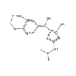 CC(C)Nc1nc(N)c(C(O)c2ccc3c(c2)OCCO3)s1